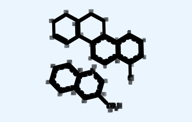 Clc1cccc2c3c(ccc12)C1=C(CCC=C1)CC3.O=C(O)c1cnc2ccccc2c1